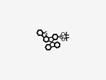 CC1(C)OB(c2ccc3c(c2)C2(c4ccccc4-c4ccccc42)c2ccc4c(sc5ccccc54)c2-3)OC1(C)C